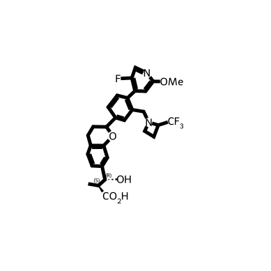 COc1cc(-c2ccc(C3CCc4ccc([C@H](O)[C@H](C)C(=O)O)cc4O3)cc2CN2CCC2C(F)(F)F)c(F)cn1